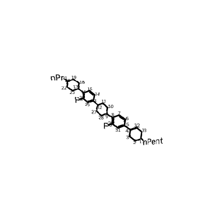 CCCCCC1CCC(c2ccc(C3CCC(c4ccc(C5CCC(CCC)CC5)c(F)c4)CC3)c(F)c2)CC1